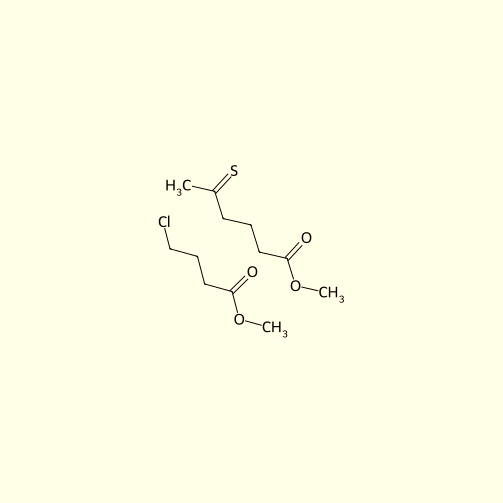 COC(=O)CCCC(C)=S.COC(=O)CCCCl